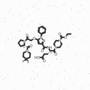 CCOC(=O)N1CCN(C(=O)[C@H](CCC(=O)O)NC(=O)c2cc(OCC(=O)N3CCC[C@H]3C(=O)N3CCC(F)(F)CC3)n(-c3ccccc3)n2)CC1